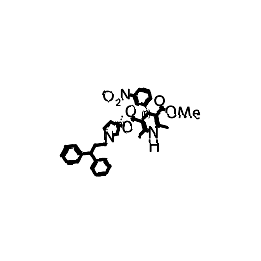 COC(=O)C1=C(C)NC(C)=C(C(=O)O[C@]2(C)CCN(CCC(c3ccccc3)c3ccccc3)C2)[C@@H]1c1cccc([N+](=O)[O-])c1